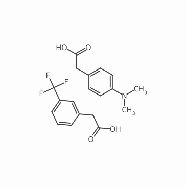 CN(C)c1ccc(CC(=O)O)cc1.O=C(O)Cc1cccc(C(F)(F)F)c1